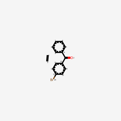 C=C.O=C(c1ccccc1)c1ccc(Br)cc1